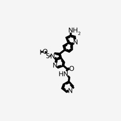 Nc1cnc2ccc(-c3cn(SOI)c4ncc(C(=O)NCc5cccnc5)cc34)cc2c1